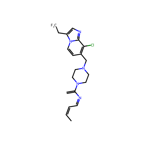 C=C(/N=C\C=C/C)N1CCN(Cc2ccn3c(CC(F)(F)F)cnc3c2Cl)CC1